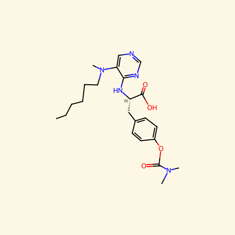 CCCCCCN(C)c1cncnc1N[C@@H](Cc1ccc(OC(=O)N(C)C)cc1)C(=O)O